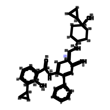 N=C1C=C(c2ccccn2)C(NC(=O)c2cccc(C3CC3)[n+]2O)=C/C1=C/N[C@H]1CC[C@@](O)(C2CC2)CC1